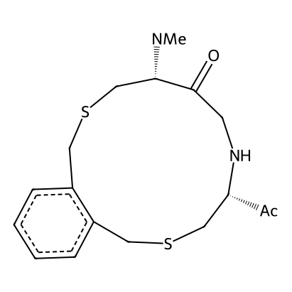 CN[C@H]1CSCc2ccccc2CSC[C@@H](C(C)=O)NCC1=O